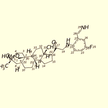 COC[C@]12CC[C@@](C)(O)C[C@@H]1CC[C@H]1[C@@H]3CC[C@H](C(=O)CNc4ccc(F)cc4C=N)[C@@]3(C)CC[C@@H]12